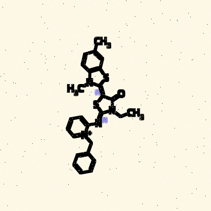 CCN1C(=O)/C(=C2\Sc3cc(C)ccc3N2C)S/C1=N\c1cccc[n+]1Cc1ccccc1